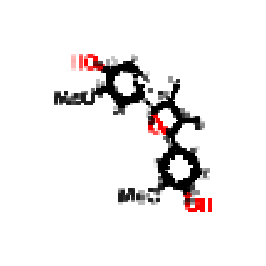 COc1cc([C@H]2O[C@H](c3ccc(O)c(OC)c3)[C@@H](C)[C@H]2C)ccc1O